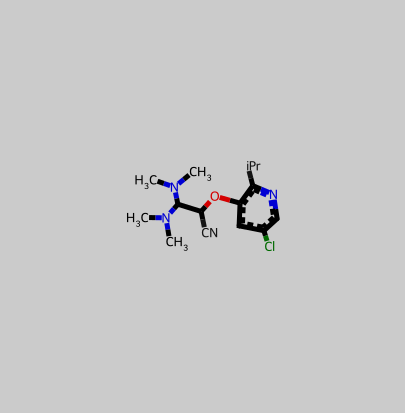 CC(C)c1ncc(Cl)cc1OC(C#N)C(N(C)C)N(C)C